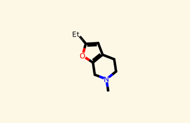 CCc1cc2c(o1)CN(C)CC2